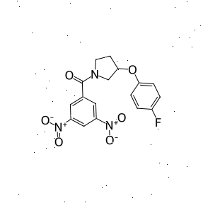 O=C(c1cc([N+](=O)[O-])cc([N+](=O)[O-])c1)N1CCC(Oc2ccc(F)cc2)C1